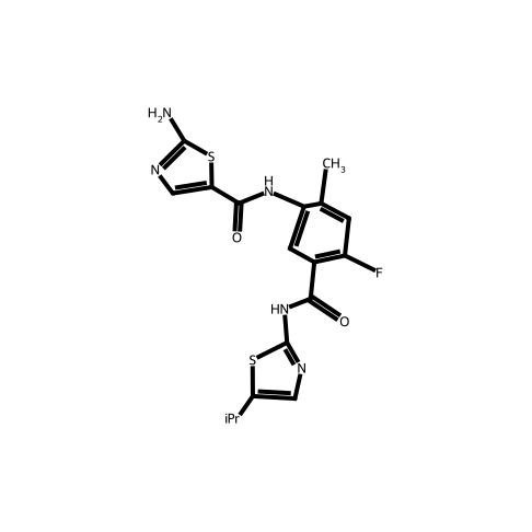 Cc1cc(F)c(C(=O)Nc2ncc(C(C)C)s2)cc1NC(=O)c1cnc(N)s1